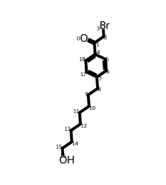 O=C(CBr)c1ccc(CCCCCCCCO)cc1